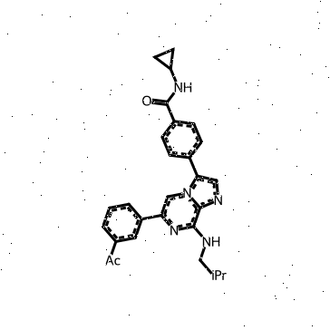 CC(=O)c1cccc(-c2cn3c(-c4ccc(C(=O)NC5CC5)cc4)cnc3c(NCC(C)C)n2)c1